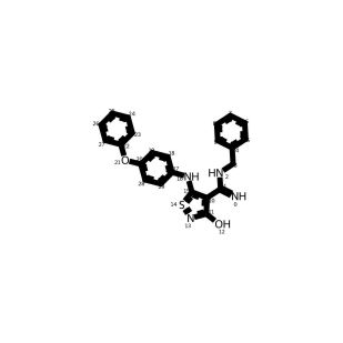 N=C(NCc1ccccc1)c1c(O)nsc1Nc1ccc(Oc2ccccc2)cc1